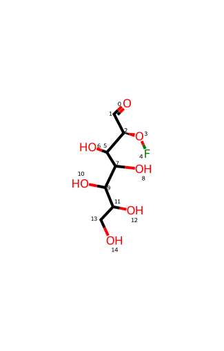 O=C[C@@H](OF)C(O)C(O)C(O)C(O)CO